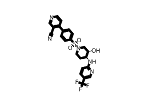 N#Cc1cnccc1-c1ccc(S(=O)(=O)N2CC[C@@H](Nc3ccc(C(F)(F)F)cn3)[C@@H](O)C2)cc1